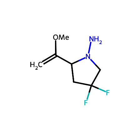 C=C(OC)C1CC(F)(F)CN1N